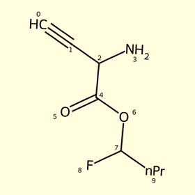 C#CC(N)C(=O)OC(F)CCC